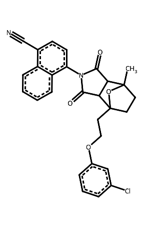 CC12CCC(CCOc3cccc(Cl)c3)(O1)C1C(=O)N(c3ccc(C#N)c4ccccc34)C(=O)C12